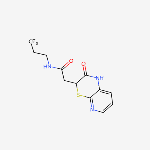 O=C(CC1Sc2ncccc2NC1=O)NCCC(F)(F)F